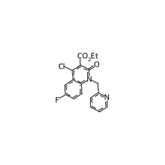 CCOC(=O)c1c(Cl)c2cc(F)ccc2n(Cc2ccccn2)c1=O